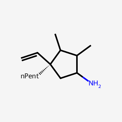 C=C[C@]1(CCCCC)CC(N)C(C)C1C